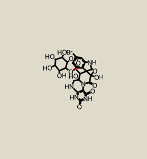 CC1(O)C(=O)N2c3c([nH]c(=O)[nH]c3=O)NCC2(O)C(C(=O)OC2C(O)C(O)C(O)C(O)C2O)C12C(=O)Nc1cc(Br)ccc12